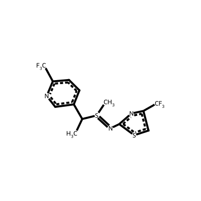 CC(c1ccc(C(F)(F)F)nc1)/S(C)=N/c1nc(C(F)(F)F)cs1